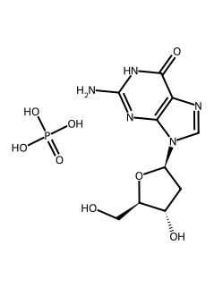 Nc1nc2c(ncn2[C@H]2C[C@H](O)[C@@H](CO)O2)c(=O)[nH]1.O=P(O)(O)O